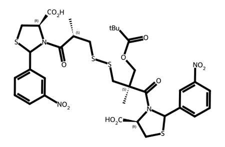 C[C@H](CSSC[C@@](C)(COC(=O)C(C)(C)C)C(=O)N1C(c2cccc([N+](=O)[O-])c2)SC[C@H]1C(=O)O)C(=O)N1C(c2cccc([N+](=O)[O-])c2)SC[C@H]1C(=O)O